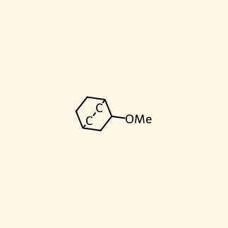 COC1CC2CCC1CC2